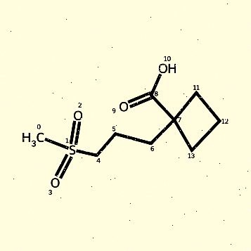 CS(=O)(=O)CCCC1(C(=O)O)CCC1